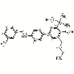 COc1c(CNCC(F)(F)F)cc(-c2ccc(NCc3cccc(C)c3)nc2)cc1C(C)(C)C(=O)O